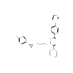 O=C(N[C@@H](CCCN[C@@H]1C[C@H]1c1ccc(F)cc1)C(=O)C1CCOCC1)c1ccc(-n2ccnc2)cc1